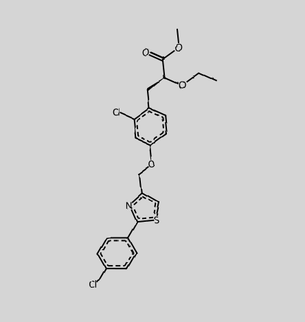 CCO[C@@H](Cc1ccc(OCc2csc(-c3ccc(Cl)cc3)n2)cc1Cl)C(=O)OC